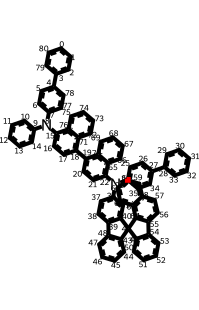 c1ccc(-c2ccc(N(c3ccccc3)c3ccc(-c4ccc(N(c5ccc(-c6ccccc6)cc5)c5ccc6c(c5)C5(c7ccccc7-6)c6ccccc6-c6ccc7ccccc7c65)c5ccccc45)c4ccccc34)cc2)cc1